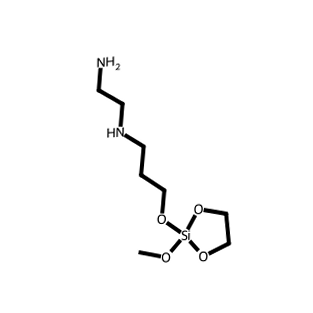 CO[Si]1(OCCCNCCN)OCCO1